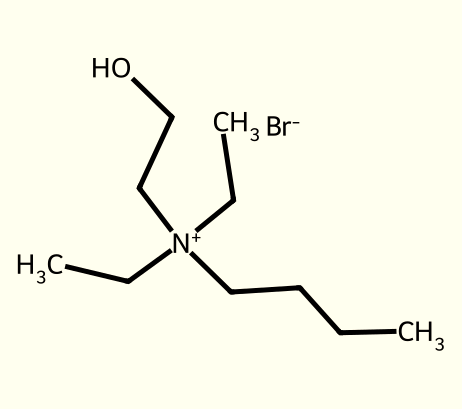 CCCC[N+](CC)(CC)CCO.[Br-]